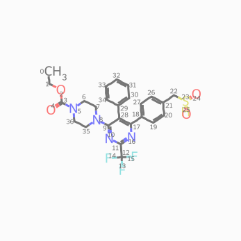 CCOC(=O)N1CCN(c2nc(C(F)(F)F)nc(-c3ccc(C[SH](=O)=O)cc3)c2-c2ccccc2)CC1